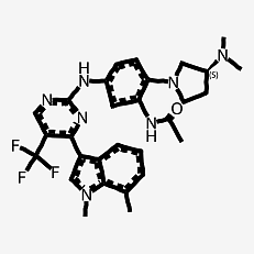 CC(=O)Nc1cc(Nc2ncc(C(F)(F)F)c(-c3cn(C)c4c(C)cccc34)n2)ccc1N1CC[C@H](N(C)C)C1